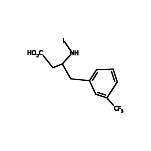 O=C(O)CC(Cc1cccc(C(F)(F)F)c1)NI